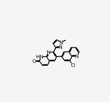 Cn1ccc(-c2nc3[nH]c(=O)ccc3cc2-c2cc(Cl)c3ncccc3c2)n1